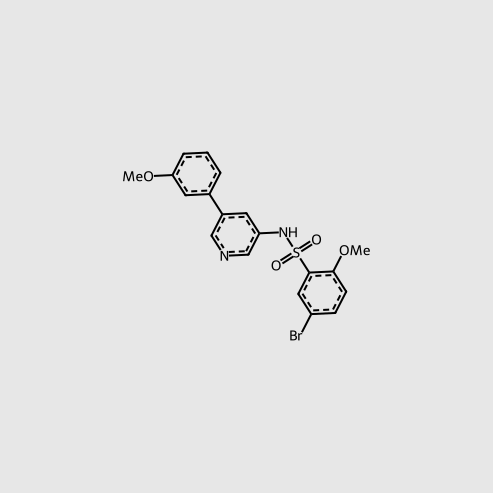 COc1cccc(-c2cncc(NS(=O)(=O)c3cc(Br)ccc3OC)c2)c1